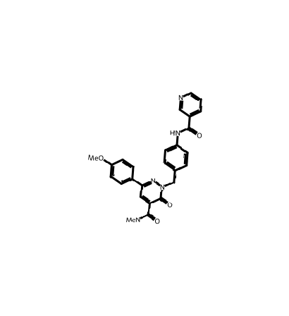 CNC(=O)c1cc(-c2ccc(OC)cc2)nn(Cc2ccc(NC(=O)c3cccnc3)cc2)c1=O